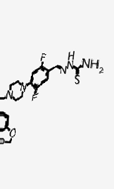 NC(=S)NN=Cc1cc(F)c(N2CCN(Cc3ccc4c(c3)OCO4)CC2)cc1F